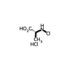 C[C@@H](NCl)C(=O)O.Cl